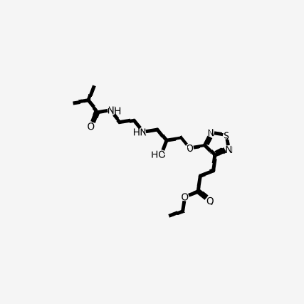 CCOC(=O)CCc1nsnc1OCC(O)CNCCNC(=O)C(C)C